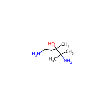 CC(C)(N)C(C)(O)CCN